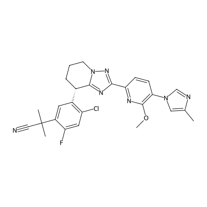 COc1nc(-c2nc3n(n2)CCC[C@H]3c2cc(C(C)(C)C#N)c(F)cc2Cl)ccc1-n1cnc(C)c1